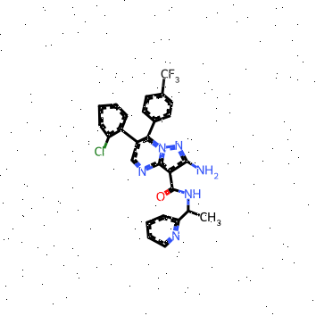 CC(NC(=O)c1c(N)nn2c(-c3ccc(C(F)(F)F)cc3)c(-c3ccccc3Cl)cnc12)c1ccccn1